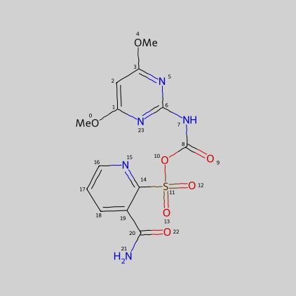 COc1cc(OC)nc(NC(=O)OS(=O)(=O)c2ncccc2C(N)=O)n1